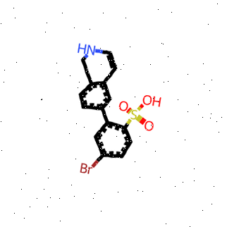 O=S(=O)(O)c1ccc(Br)cc1-c1ccc2c(c1)C=CNC2